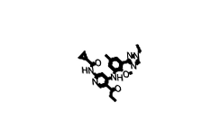 CCC(=O)c1cnc(NC(=O)C2CC2)cc1Nc1cc(C)cc(-c2ncn(CC)n2)c1OC